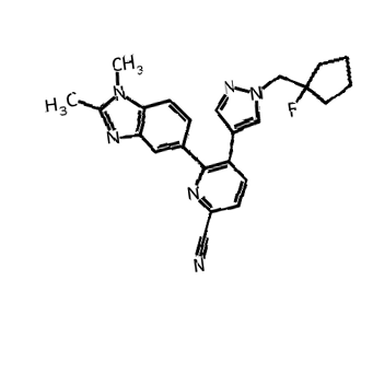 Cc1nc2cc(-c3nc(C#N)ccc3-c3cnn(CC4(F)CCCC4)c3)ccc2n1C